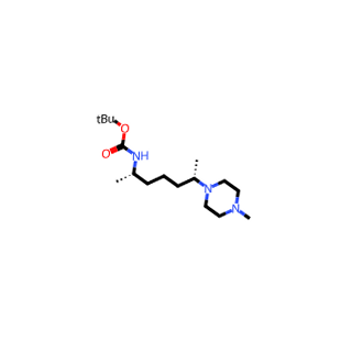 C[C@@H](CCC[C@H](C)N1CCN(C)CC1)NC(=O)OC(C)(C)C